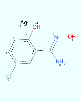 NC(=NO)c1cc(Cl)ccc1O.[Ag]